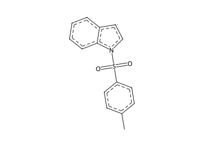 Cc1ccc(S(=O)(=O)n2c[c]c3ccccc32)cc1